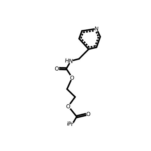 CC(C)C(=O)OCCOC(=O)NCc1ccncc1